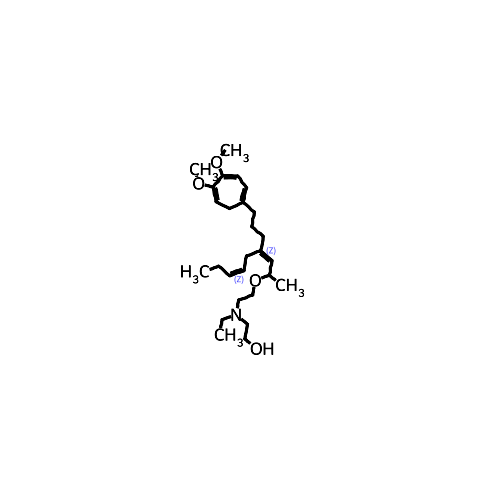 CC/C=C\C/C(=C\C(C)OCCN(CC)CCO)CCCC1=CC=C(OC)C(OC)=CC1